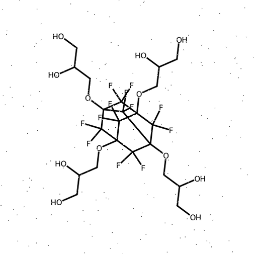 OCC(O)COC12C(F)(F)C3(OCC(O)CO)C(F)(F)C(OCC(O)CO)(C1(F)F)C(F)(F)C(OCC(O)CO)(C2(F)F)C3(F)F